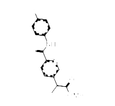 COC(=O)C(C)c1ccc(C(=O)Nc2ccc(F)cc2)nc1